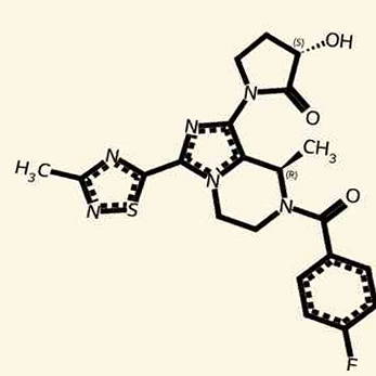 Cc1nsc(-c2nc(N3CC[C@H](O)C3=O)c3n2CCN(C(=O)c2ccc(F)cc2)[C@@H]3C)n1